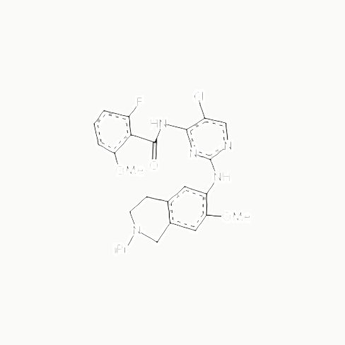 COc1cc2c(cc1Nc1ncc(Cl)c(NC(=O)c3c(F)cccc3OC)n1)CCN(C(C)C)C2